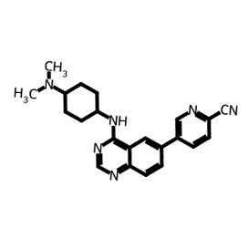 CN(C)C1CCC(Nc2ncnc3ccc(-c4ccc(C#N)nc4)cc23)CC1